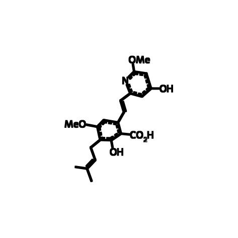 COc1cc(O)cc(/C=C/c2cc(OC)c(CC=C(C)C)c(O)c2C(=O)O)n1